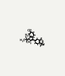 CC(C)(C)n1cc(-c2ccc(C(F)(F)F)c(F)c2)c2ccc(Cl)nc21